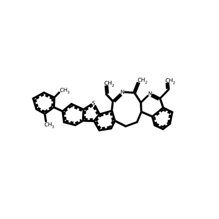 C=CC1=NC2C(=C)/N=C(/C=C)c3c(ccc4c3sc3cc(-c5c(C)cccc5C)ccc34)CCC2c2ccccc21